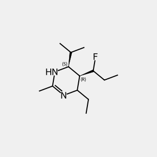 CCC(F)[C@H]1C(CC)N=C(C)N[C@H]1C(C)C